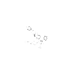 O=C(Nc1cn2nc(-c3c(-c4ccc(F)cc4)nc(C4CC4)n3C3CCN(C(=O)CC(F)(F)F)CC3)ccc2n1)c1ccnc(F)c1